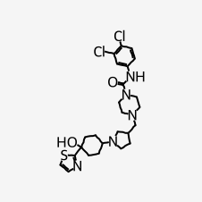 O=C(Nc1ccc(Cl)c(Cl)c1)N1CCN(CC2CCN(C3CCC(O)(c4nccs4)CC3)C2)CC1